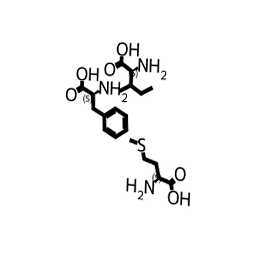 CCC(C)[C@H](N)C(=O)O.CSCC[C@H](N)C(=O)O.N[C@@H](Cc1ccccc1)C(=O)O